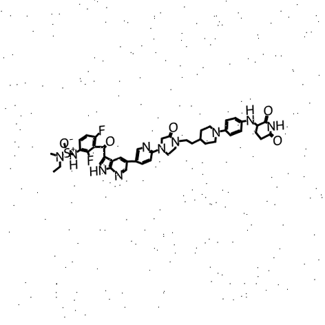 CCN(C)[S+]([O-])Nc1ccc(F)c(C(=O)c2c[nH]c3ncc(-c4ccc(N5CCN(CCC6CCN(c7ccc(NC8CCC(=O)NC8=O)cc7)CC6)C(=O)C5)nc4)cc23)c1F